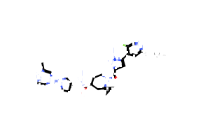 COc1cc(-c2cc(C(=O)N3CC[C@H](C(=O)N[C@@H]4CCN(N5C=C(C)N=CC5)C4)CC34CC4)n[nH]2)c(F)cn1